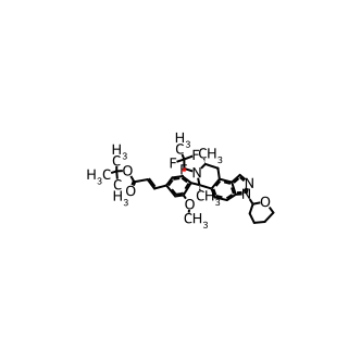 COc1cc(/C=C/C(=O)OC(C)(C)C)cc(F)c1[C@]1(C)c2ccc3c(cnn3C3CCCCO3)c2C[C@@H](C)N1CC(C)(F)F